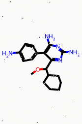 COC(c1nc(N)nc(N)c1-c1ccc(N)cc1)C1CCCCC1